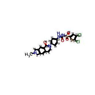 CN1Cc2cc3ccn(-c4ccc(NC(=O)NS(=O)(=O)c5cc(Cl)c(Cl)s5)cc4)c(=O)c3cc2C1